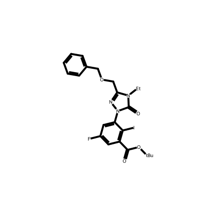 CCn1c(COCc2ccccc2)nn(-c2cc(F)cc(C(=O)OC(C)(C)C)c2I)c1=O